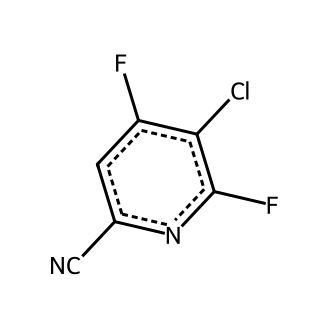 N#Cc1cc(F)c(Cl)c(F)n1